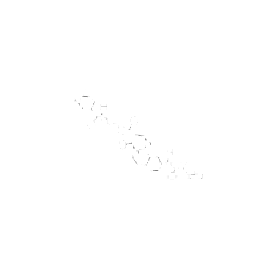 CCC(C)C(C)C(=O)Nc1ccc2ccn3c(=O)c(C(=O)OCCNC(=O)c4cccnc4)cnc3c2c1